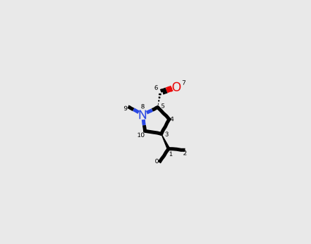 CC(C)[C@@H]1C[C@@H](C=O)N(C)C1